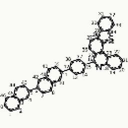 c1ccc2cc(-c3ccc4cc(-c5ccc(-c6nc7ccccc7c7c6ccc6c8ccccc8sc67)cc5)ccc4c3)ccc2c1